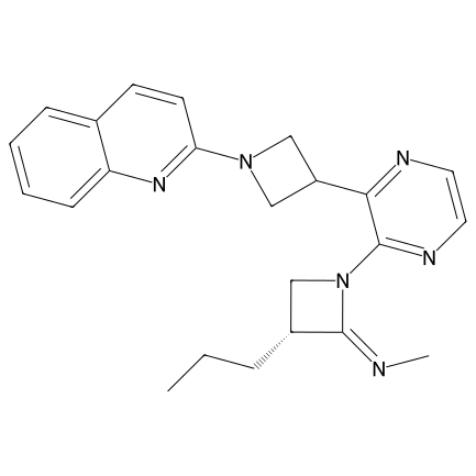 CCC[C@@H]1CN(c2nccnc2C2CN(c3ccc4ccccc4n3)C2)/C1=N\C